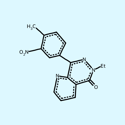 CCn1nc(-c2ccc(C)c([N+](=O)[O-])c2)c2ncccc2c1=O